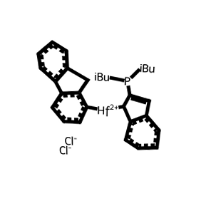 CCC(C)P(C1=Cc2ccccc2[CH]1[Hf+2][c]1cccc2c1Cc1ccccc1-2)C(C)CC.[Cl-].[Cl-]